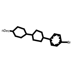 CCCCCCCCCCC1CCC(C2CCC(c3ccc(Br)cc3)CC2)CC1